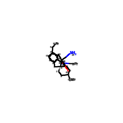 CO[C@H]1CC[C@]2(CC1)Cc1ccc(CC(C)C)cc1C21N=C(N)N(C(C)C)C1=O